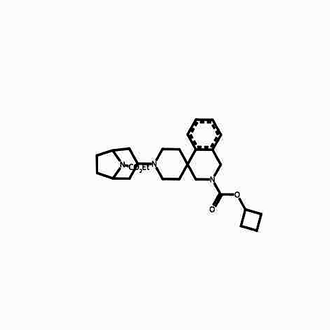 CCOC(=O)N1C2CCC1CC(N1CCC3(CC1)CN(C(=O)OC1CCC1)Cc1ccccc13)C2